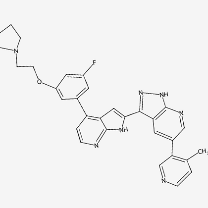 Cc1ccncc1-c1cnc2[nH]nc(-c3cc4c(-c5cc(F)cc(OCCN6CCCC6)c5)ccnc4[nH]3)c2c1